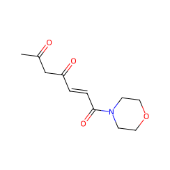 CC(=O)CC(=O)C=CC(=O)N1CCOCC1